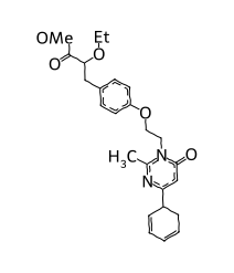 CCOC(Cc1ccc(OCCn2c(C)nc(C3C=CC=CC3)cc2=O)cc1)C(=O)OC